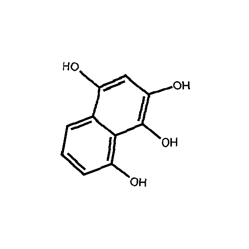 Oc1cc(O)c2cccc(O)c2c1O